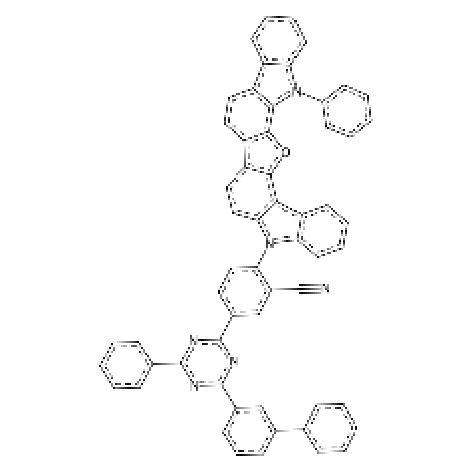 N#Cc1cc(-c2nc(-c3ccccc3)nc(-c3cccc(-c4ccccc4)c3)n2)ccc1-n1c2ccccc2c2c3oc4c(ccc5c6ccccc6n(-c6ccccc6)c54)c3ccc21